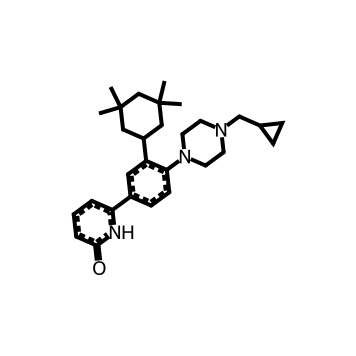 CC1(C)CC(c2cc(-c3cccc(=O)[nH]3)ccc2N2CCN(CC3CC3)CC2)CC(C)(C)C1